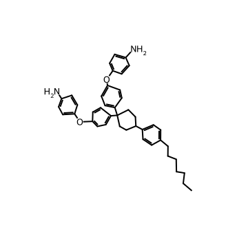 CCCCCCCc1ccc(C2CCC(c3ccc(Oc4ccc(N)cc4)cc3)(c3ccc(Oc4ccc(N)cc4)cc3)CC2)cc1